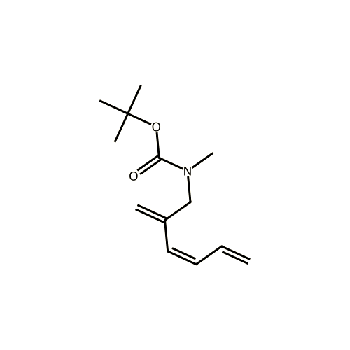 C=C/C=C\C(=C)CN(C)C(=O)OC(C)(C)C